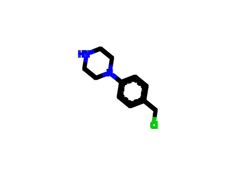 ClCc1ccc(N2CCNCC2)cc1